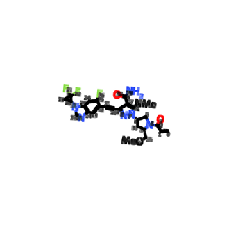 C=CC(=O)N1C[C@@H](n2nc(C#Cc3cc4ncn([C@@H]5CC5(F)F)c4cc3F)c(C(N)=O)c2NC)C[C@@H]1COC